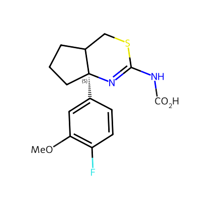 COc1cc([C@]23CCCC2CSC(NC(=O)O)=N3)ccc1F